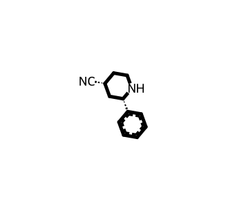 N#C[C@@H]1CCN[C@H](c2ccccc2)C1